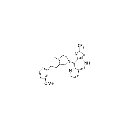 COc1cccc(CCC2CN(C3=c4ncccc4=CNc4sc(C(F)(F)F)nc43)CCN2C)c1